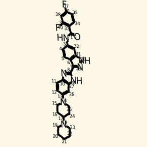 O=C(Nc1ccc2c(-c3nc4ccc(N5CCC(N6CCCCC6)CC5)cc4[nH]3)n[nH]c2c1)c1ccc(F)cc1F